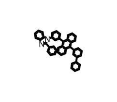 c1ccc(-c2cccc(-c3c4ccccc4c(-c4cccc(-n5c(-c6ccccc6)nc6ccccc65)c4)c4ccccc34)c2)cc1